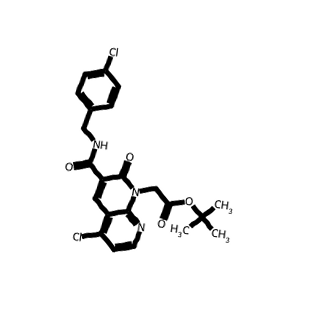 CC(C)(C)OC(=O)Cn1c(=O)c(C(=O)NCc2ccc(Cl)cc2)cc2c(Cl)ccnc21